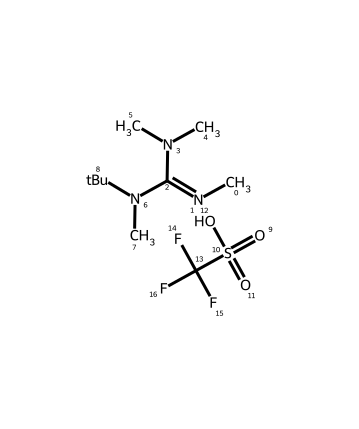 CN=C(N(C)C)N(C)C(C)(C)C.O=S(=O)(O)C(F)(F)F